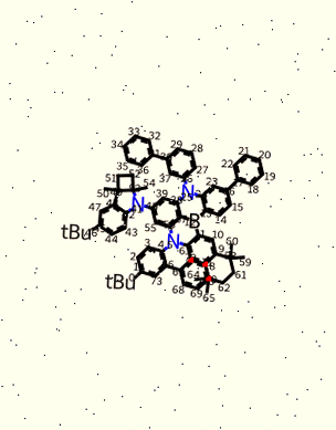 CC(C)(C)c1ccc(N2c3cc4c(cc3B3c5ccc(-c6ccccc6)cc5N(c5cccc(-c6ccccc6)c5)c5cc(N6c7ccc(C(C)(C)C)cc7C7(C)CCC67C)cc2c53)C(C)(C)CCC4(C)C)c(-c2ccccc2)c1